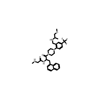 CNCC(=O)NC(Cc1cccc2ccccc12)C(=O)N1CCN(c2ccc(C(F)(F)F)cc2CNC(C)COC)CC1